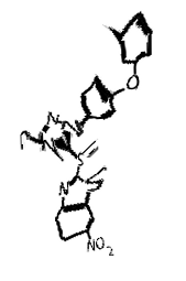 O=[N+]([O-])c1ccc2nc(Sc3nnnn3-c3ccc(Oc4ccccc4)cc3)sc2c1